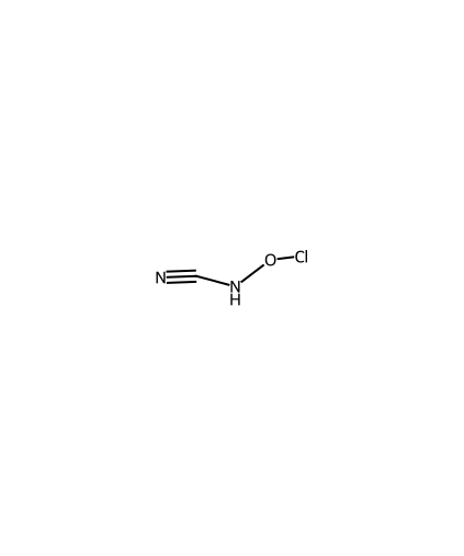 N#CNOCl